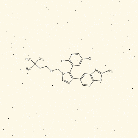 C[Si](C)(C)CCOCn1cnc(-c2ccc3oc(N)nc3c2)c1-c1cc(Cl)ccc1F